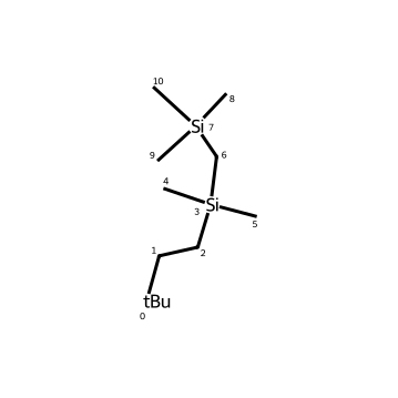 CC(C)(C)CC[Si](C)(C)C[Si](C)(C)C